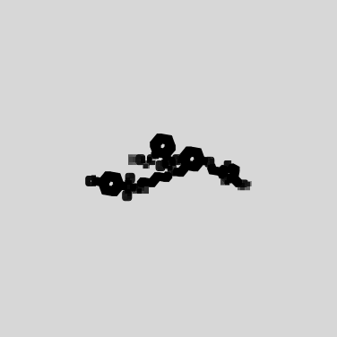 CC(C)c1csc(COc2cccc(CN(CCCCNS(=O)(=O)c3ccc(Cl)cc3)S(=O)(=O)c3ccccc3C(=O)O)c2)n1